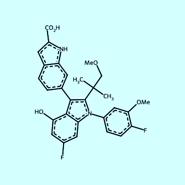 COCC(C)(C)c1c(-c2ccc3cc(C(=O)O)[nH]c3c2)c2c(O)cc(F)cc2n1-c1ccc(F)c(OC)c1